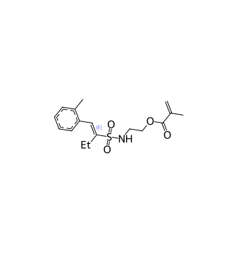 C=C(C)C(=O)OCCNS(=O)(=O)/C(=C/c1ccccc1C)CC